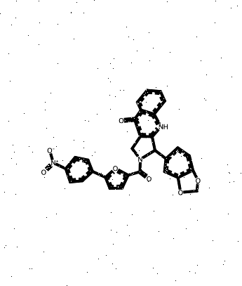 O=C(c1ccc(-c2ccc([N+](=O)[O-])cc2)o1)N1Cc2c([nH]c3ccccc3c2=O)C1c1ccc2c(c1)OCO2